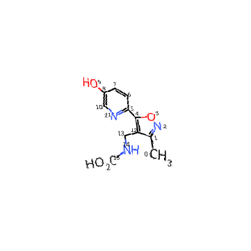 Cc1noc(-c2ccc(O)cn2)c1CNC(=O)O